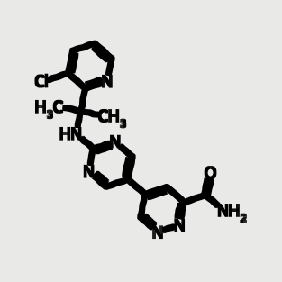 CC(C)(Nc1ncc(-c2cnnc(C(N)=O)c2)cn1)c1ncccc1Cl